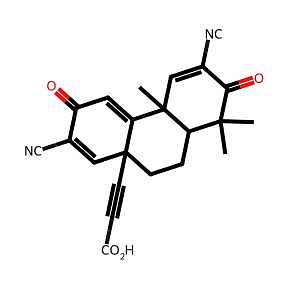 [C-]#[N+]C1=CC2(C)C3=CC(=O)C(C#N)=CC3(C#CC(=O)O)CCC2C(C)(C)C1=O